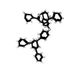 C[C@@H]1C/C(C2CC=CCC2)=N\C(c2ccc(Oc3ccc(-c4cc(-c5ccccc5)cc(C5C=CC=CC5)c4)cc3)cc2)=C\CC(c2ccccc2)C1